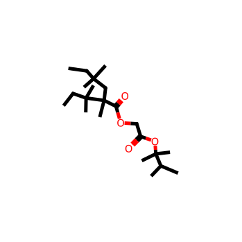 CCC(C)(C)CC(C)(C(=O)OCC(=O)OC(C)(C)C(C)C)C(C)(C)CC